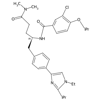 CCn1cc(-c2ccc(C[C@@H](CCC(=O)N(C)C)NC(=O)c3ccc(OC(C)C)c(Cl)c3)cc2)nc1C(C)C